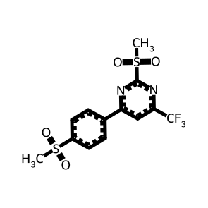 CS(=O)(=O)c1ccc(-c2cc(C(F)(F)F)nc(S(C)(=O)=O)n2)cc1